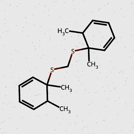 CC1C=CC=CC1(C)SCSC1(C)C=CC=CC1C